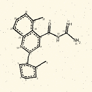 Cc1ccccc1-c1cc(C(=O)NC(=N)N)c2c(C)cccc2n1